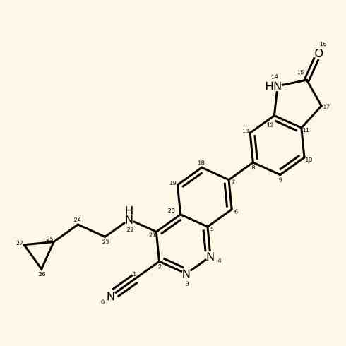 N#Cc1nnc2cc(-c3ccc4c(c3)NC(=O)C4)ccc2c1NCCC1CC1